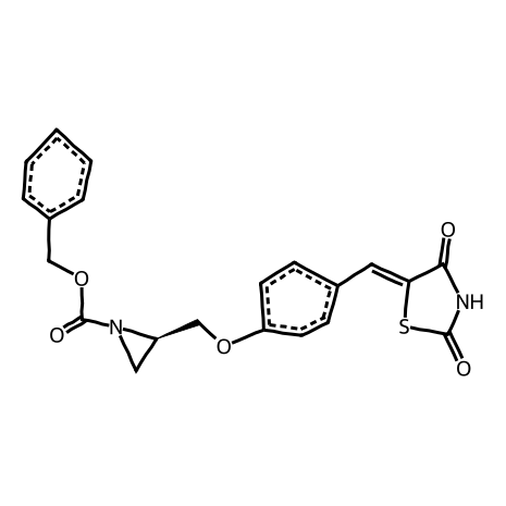 O=C1NC(=O)C(=Cc2ccc(OC[C@H]3CN3C(=O)OCc3ccccc3)cc2)S1